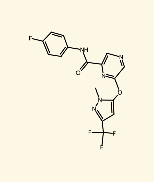 Cn1nc(C(F)(F)F)cc1Oc1cncc(C(=O)Nc2ccc(F)cc2)n1